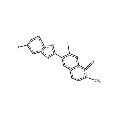 Cn1ccc2cc(-c3nc4ccc(F)cn4n3)c(F)cc2c1=O